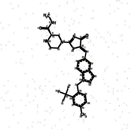 CNC(=O)[C@H]1CN(C2=NC(=O)/C(=C/c3ccc4c(cnn4Cc4ccc(C)cc4C(F)(F)F)c3)S2)CCN1